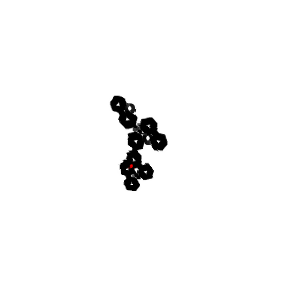 c1cc(-c2ccc(N(c3ccc4c(c3)oc3ccccc34)c3cccc4c3oc3ccccc34)cc2)cc(-c2ccccc2-n2c3ccccc3c3ccccc32)c1